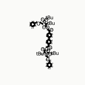 CC(C)(C)OC(=O)N(CCOCc1ccccc1)C(C(=O)OCC(=O)c1ccc(-c2ccc(C(=O)COC(=O)[C@@H](N(CCOCc3ccccc3)C(=O)OC(C)(C)C)C(C)(C)C)cc2)cc1)C(C)(C)C